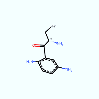 CC(C)C[C@H](N)C(=O)c1cc(N)ccc1N